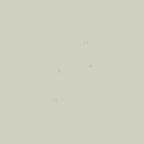 CC(O)CN1CC(O)C1